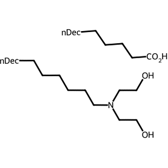 CCCCCCCCCCCCCCC(=O)O.CCCCCCCCCCCCCCCCN(CCO)CCO